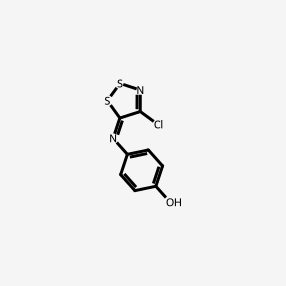 Oc1ccc(/N=c2/ssnc2Cl)cc1